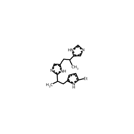 CCc1ccc(CC(C)c2ncc(CC(C)c3cnc[nH]3)[nH]2)[nH]1